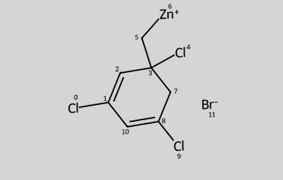 ClC1=CC(Cl)([CH2][Zn+])CC(Cl)=C1.[Br-]